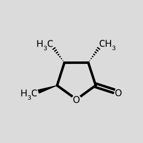 C[C@H]1[C@H](C)OC(=O)[C@H]1C